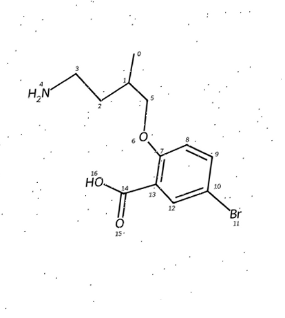 CC(CCN)COc1ccc(Br)cc1C(=O)O